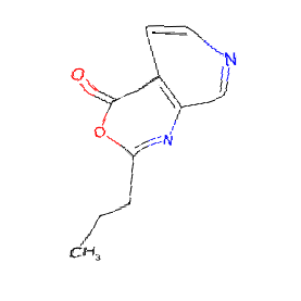 CCCc1nc2cnccc2c(=O)o1